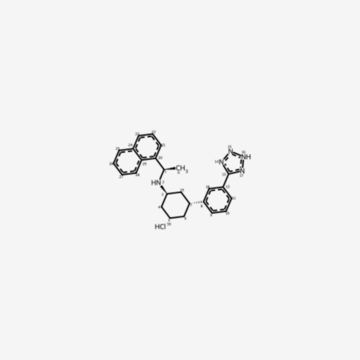 C[C@@H](N[C@@H]1CCC[C@@H](c2cccc(-c3nn[nH]n3)c2)C1)c1cccc2ccccc12.Cl